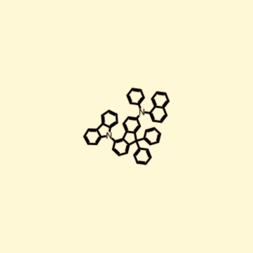 c1ccc(N(c2ccc3c(c2)C(c2ccccc2)(c2ccccc2)c2cccc(-n4c5ccccc5c5ccccc54)c2-3)c2cccc3ccccc23)cc1